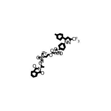 Cc1ccc(-c2cc(C(F)(F)F)nn2-c2ccc(S(=O)(=O)NC(=O)OCCN(C(C)C)[N+]([O-])=NOC(C)N3C(=O)c4ccccc4C3=O)cc2)cc1